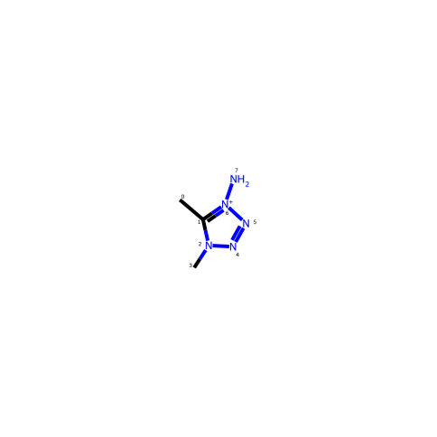 Cc1n(C)nn[n+]1N